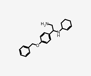 NCC(NC1C=CCCC1)c1ccc(OCc2ccccc2)cc1